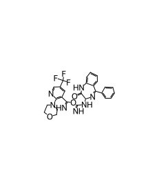 N=C(NC1N=C(c2ccccc2)c2ccccc2NC1=O)OC(=N)c1cc(C(F)(F)F)cnc1N1CCOCC1